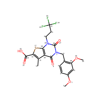 COc1ccc(Cn2c(=O)c3c(C)c(C(=O)O)sc3n(CCC(F)(F)F)c2=O)c(OC)c1